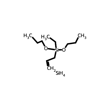 C=CC[Si](CC)(OCCC)OCCC.[SiH4]